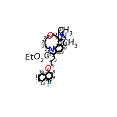 CCOC(=O)c1c(CCCOc2ccc(F)c3ccccc23)c2cccc3c2n1CCCCOCc1c-3c(C)nn1C